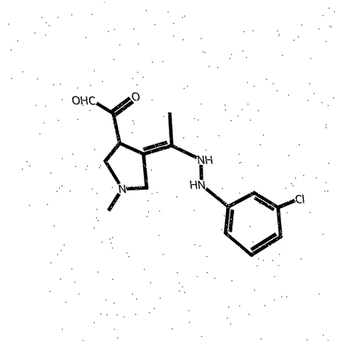 CC(NNc1cccc(Cl)c1)=C1CN(C)CC1C(=O)C=O